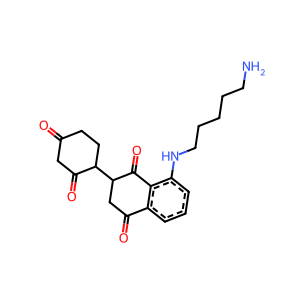 NCCCCCNc1cccc2c1C(=O)C(C1CCC(=O)CC1=O)CC2=O